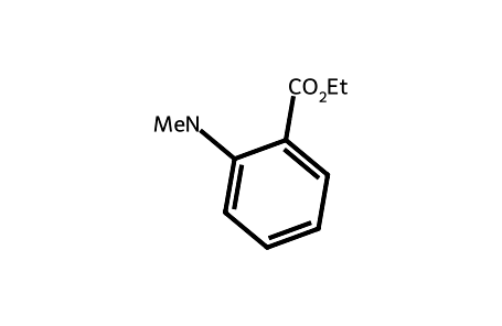 CCOC(=O)c1ccccc1NC